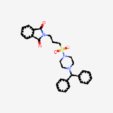 O=C1c2ccccc2C(=O)N1CCCS(=O)(=O)N1CCN(C(c2ccccc2)c2ccccc2)CC1